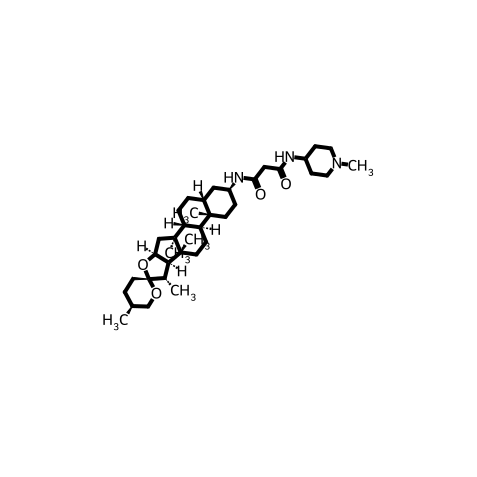 C[C@H]1CC[C@@]2(OC1)O[C@H]1C[C@@]3(C)[C@@H]4CC[C@@H]5C[C@@H](NC(=O)CC(=O)NC6CCN(C)CC6)CC[C@]5(C)[C@H]4CC[C@]3(C)[C@H]1[C@@H]2C